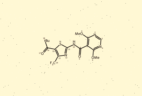 COc1ncnc(OC)c1C(=O)Nc1nc(C(F)(F)F)c(C(=O)C(C)(C)C)s1